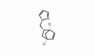 C1=C[C@H]2C[C@@H]1C[C@H]2Cn1cccn1